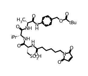 CC(C)[C@@H](NC(=O)[C@@H](CS(=O)(=O)O)NC(=O)CCCCCN1C(=O)C=CC1=O)C(=O)N[C@H](C)C(=O)Nc1ccc(COC(=O)C(C)(C)C)cc1